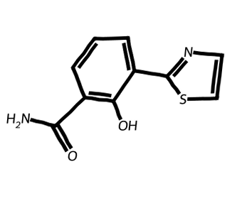 NC(=O)c1cccc(-c2nccs2)c1O